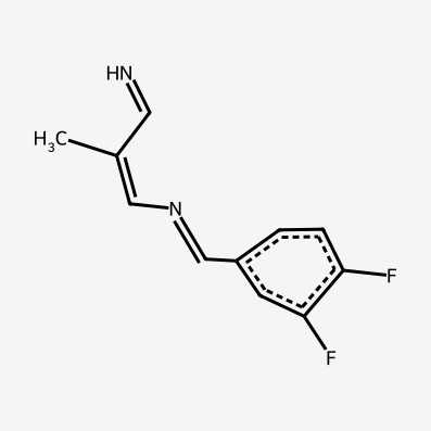 C/C(C=N)=C/N=C/c1ccc(F)c(F)c1